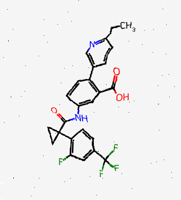 CCc1ccc(-c2ccc(NC(=O)C3(c4ccc(C(F)(F)F)cc4F)CC3)cc2C(=O)O)cn1